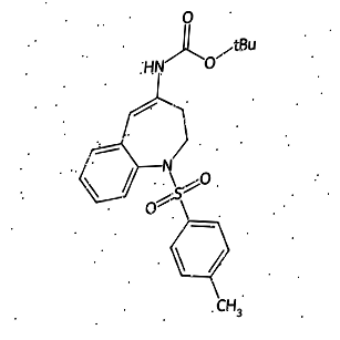 Cc1ccc(S(=O)(=O)N2CCC(NC(=O)OC(C)(C)C)=Cc3ccccc32)cc1